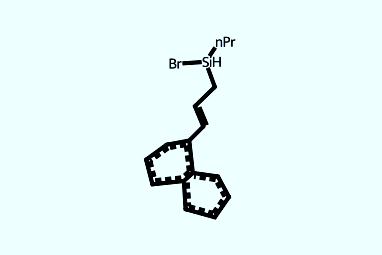 CCC[SiH](Br)CC=Cc1cccc2ccccc12